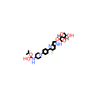 CC(C)O[C@H](O)NC1CCN(c2ccc(-c3nc4cc(O[C@@H]5CO[C@H]6[C@@H]5OC[C@H]6O)[nH]c4cc3F)cc2)CC1